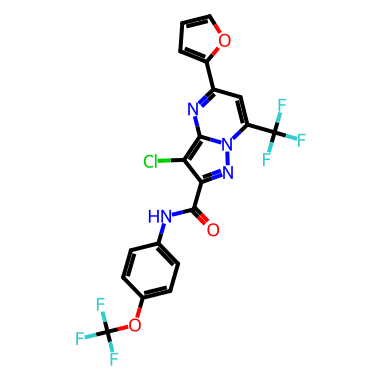 O=C(Nc1ccc(OC(F)(F)F)cc1)c1nn2c(C(F)(F)F)cc(-c3ccco3)nc2c1Cl